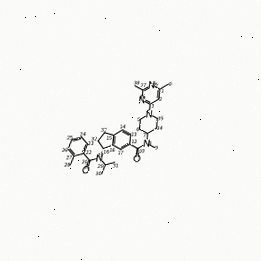 Cc1cc(N2CCC(N(C)C(=O)c3ccc4c(c3)[C@H](N(C(=O)c3ccccc3C)C(C)C)CC4)CC2)nc(C)n1